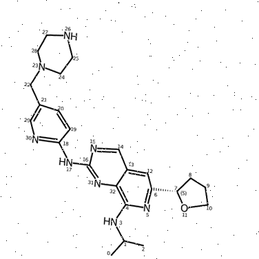 CC(C)Nc1nc([C@@H]2CCCO2)cc2cnc(Nc3ccc(CN4CCNCC4)cn3)nc12